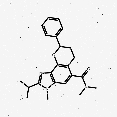 CC(C)c1nc2c3c(c(C(=O)N(C)C)cc2n1C)CCC(c1ccccc1)O3